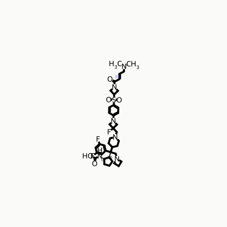 CN(C)C/C=C/C(=O)N1CC(S(=O)(=O)c2ccc(N3CC(F)(CN4CCC(C(CN5CCC5)(c5cc(F)cc(F)c5)[C@H]5CCC[C@@H]5NC(=O)O)CC4)C3)cc2)C1